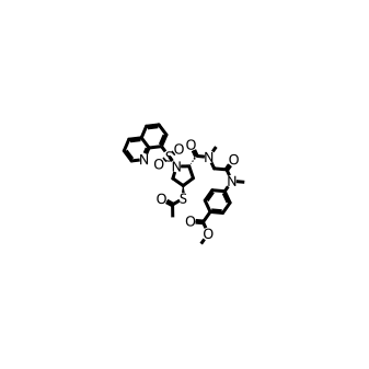 COC(=O)c1ccc(N(C)C(=O)CN(C)C(=O)[C@@H]2C[C@@H](SC(C)=O)CN2S(=O)(=O)c2cccc3cccnc23)cc1